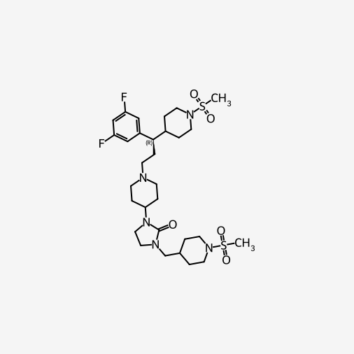 CS(=O)(=O)N1CCC(CN2CCN(C3CCN(CC[C@@H](c4cc(F)cc(F)c4)C4CCN(S(C)(=O)=O)CC4)CC3)C2=O)CC1